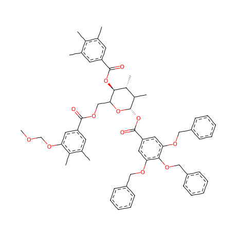 COCOc1cc(C(=O)OCC2O[C@@H](OC(=O)c3cc(OCc4ccccc4)c(OCc4ccccc4)c(OCc4ccccc4)c3)C(C)[C@@H](C)[C@@H]2OC(=O)c2cc(C)c(C)c(C)c2)cc(C)c1C